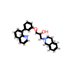 OC(COc1cccc(-c2cccc3cccnc23)c1)CN1CCc2ccccc2C1